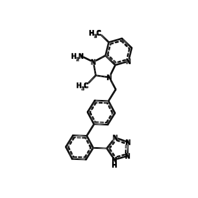 Cc1ccnc2c1N(N)C(C)N2Cc1ccc(-c2ccccc2-c2nnn[nH]2)cc1